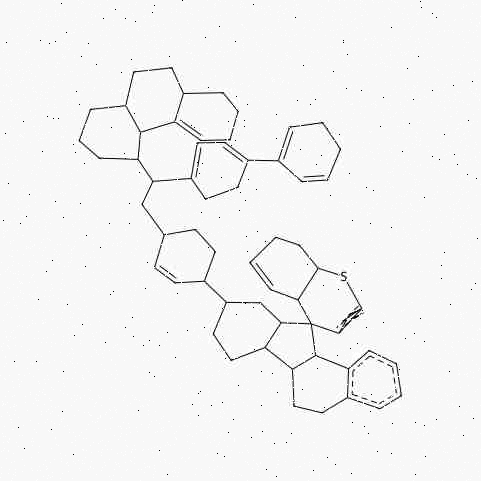 C1=CC(C2=CC=C(C(CC3C=CC(C4CCC5C6CCc7ccccc7C6C6(c7ccccc7SC7CCC=CC76)C5C4)CC3)C3CCCC4CCC5CCCC=C5C43)CC2)=CCC1